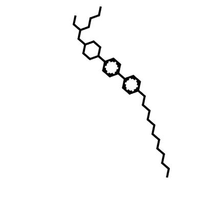 CCCCCCCCCCCCc1ccc(-c2ccc(C3CCC(CC(CC)CCCC)CC3)cc2)cc1